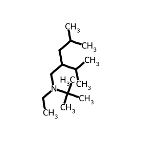 CCN(CC(CC(C)C)C(C)C)C(C)(C)C